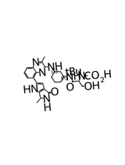 Cc1nc2cccc(-c3cc4c([nH]3)C(C)NC4=O)c2nc1N[C@H]1CCC[C@@H](NC(=O)C(CO)N(C(=O)O)C(C)(C)C)C1